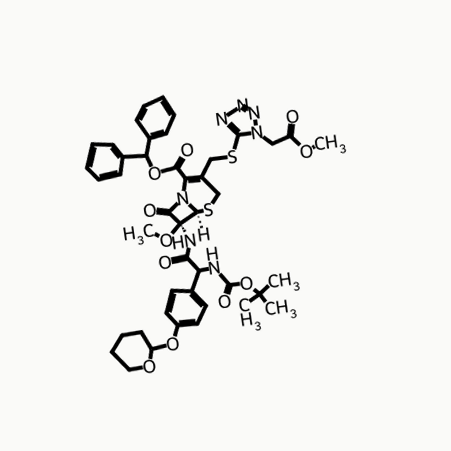 COC(=O)Cn1nnnc1SCC1=C(C(=O)OC(c2ccccc2)c2ccccc2)N2C(=O)[C@](NC(=O)C(NC(=O)OC(C)(C)C)c3ccc(OC4CCCCO4)cc3)(OC)[C@@H]2SC1